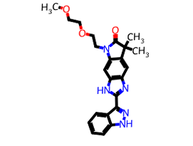 COCCOCCN1C(=O)C(C)(C)c2cc3nc(-c4n[nH]c5ccccc45)[nH]c3cc21